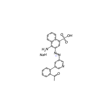 CC(=O)c1ccccc1-c1cncc(/N=N/c2cc(S(=O)(=O)O)c3ccccc3c2N)c1.[NaH]